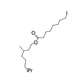 CC(C)CCCC(C)CCOC(=O)CCCCCCCI